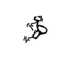 Cc1cc2cccc(C3(C(F)(F)F)CCN=N3)c2s1